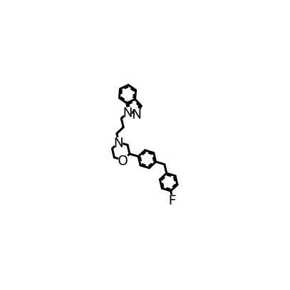 Fc1ccc(Cc2ccc(C3CN(CCCn4ncc5ccccc54)CCO3)cc2)cc1